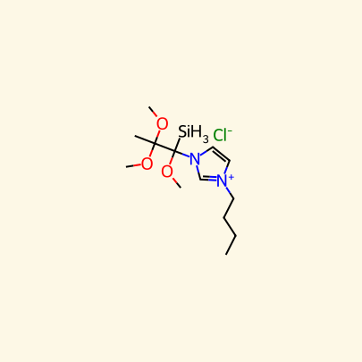 CCCC[n+]1ccn(C([SiH3])(OC)C(C)(OC)OC)c1.[Cl-]